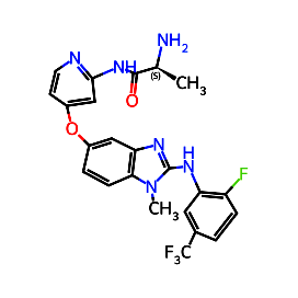 C[C@H](N)C(=O)Nc1cc(Oc2ccc3c(c2)nc(Nc2cc(C(F)(F)F)ccc2F)n3C)ccn1